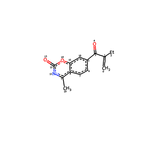 C=C(CC)C(=O)c1ccc2c(C)nc(=O)oc2c1